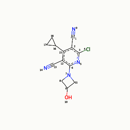 N#Cc1c(Cl)nc(N2CC(O)C2)c(C#N)c1C1CC1